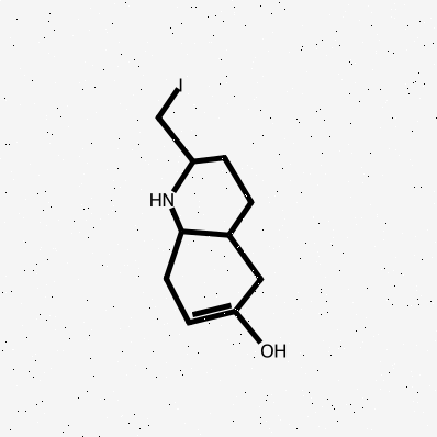 OC1=CCC2NC(CI)CCC2C1